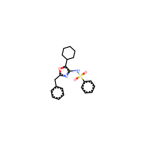 O=S(=O)(Nc1nc(Cc2ccccc2)oc1C1CCCCC1)c1ccccc1